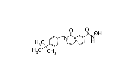 CC(C)(C)c1ccc(Cn2ccc3ccc(C(=O)NO)cc3c2=O)cc1